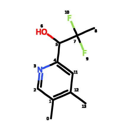 Cc1cnc(C(O)C(C)(F)F)cc1C